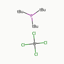 CC(C)(C)P(C(C)(C)C)C(C)(C)C.Cl[B-](Cl)(Cl)Cl